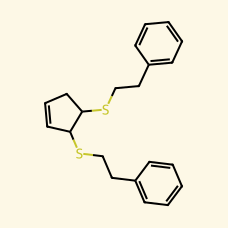 C1=CC(SCCc2ccccc2)C(SCCc2ccccc2)C1